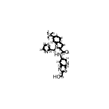 C[Si](C)(C)c1ccc2cc(C(=O)Nc3cnc4sc(CO)nc4c3)n(Cc3nccs3)c2c1